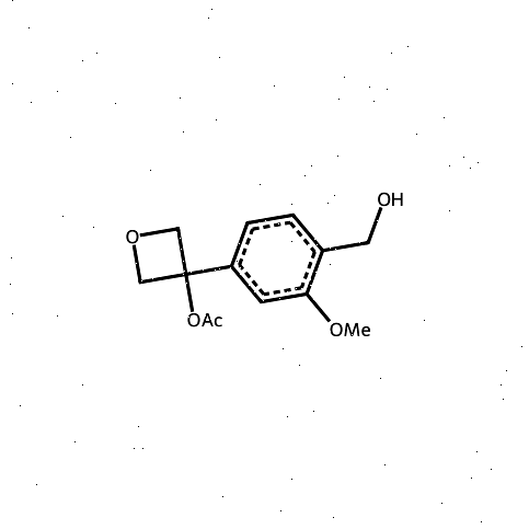 COc1cc(C2(OC(C)=O)COC2)ccc1CO